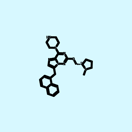 CN1CCC[C@H]1COc1nc(N2CCNCC2)c2ncc(Cc3cccc4ccccc34)n2n1